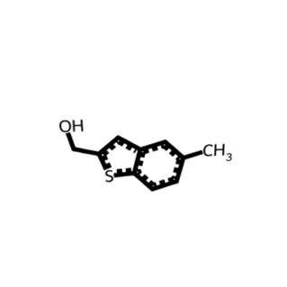 Cc1ccc2sc(CO)cc2c1